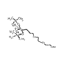 C[Si](C)(C)O[Si](C)(CCCOCCOCCO)O[Si](C)(C)C